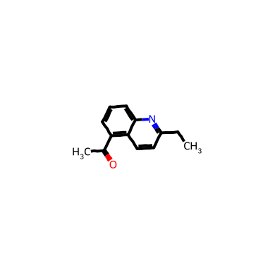 CCc1ccc2c(C(C)=O)cccc2n1